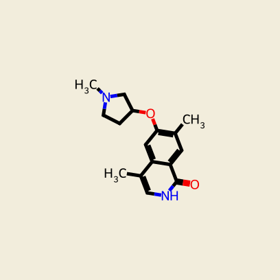 Cc1cc2c(=O)[nH]cc(C)c2cc1OC1CCN(C)C1